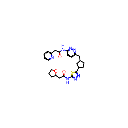 O=C(Cc1ccccn1)Nc1ccc(CC2CCC(c3nnc(NC(=O)CC4CCCO4)s3)C2)nn1